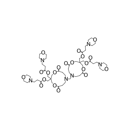 O=C(CCN1CCOCC1)OCC1(COC(=O)CCN2CCOCC2)COC(=O)CCN(CN2CCC(=O)OCC(COC(=O)CCN3CCOCC3)(COC(=O)CCN3CCOCC3)COC(=O)CC2)CCC(=O)OC1